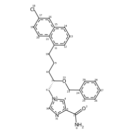 NC(=O)c1cn(C[C@H](CCCc2cccc3cc(Cl)ccc23)OCc2ccccc2)cn1